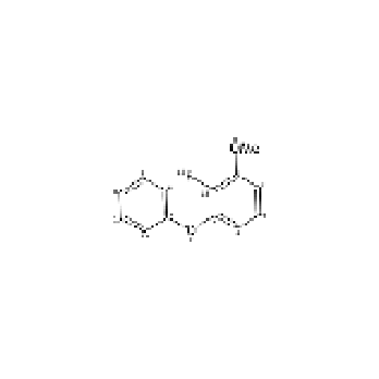 COc1cccc(Oc2ccccc2)c1F